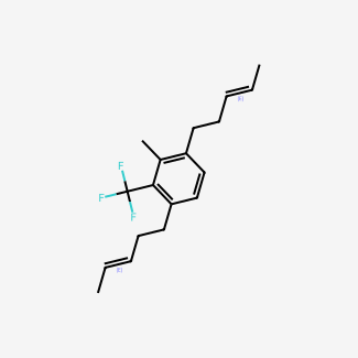 C/C=C/CCc1ccc(CC/C=C/C)c(C(F)(F)F)c1C